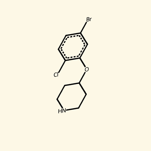 Clc1ccc(Br)cc1OC1CCNCC1